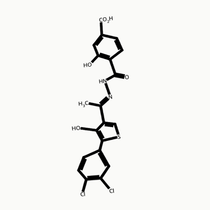 C/C(=N\NC(=O)c1ccc(C(=O)O)cc1O)c1csc(-c2ccc(Cl)c(Cl)c2)c1O